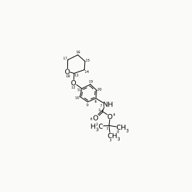 CC(C)(C)OC(=O)Nc1ccc(OC2CCCCO2)cc1